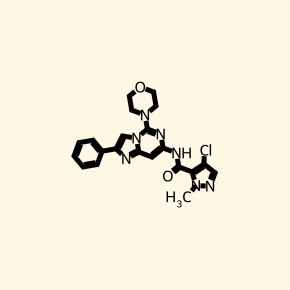 Cn1ncc(Cl)c1C(=O)Nc1cc2nc(-c3ccccc3)cn2c(N2CCOCC2)n1